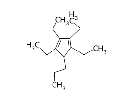 CCCC1C(CC)=C(CC)C(CC)=C1CC